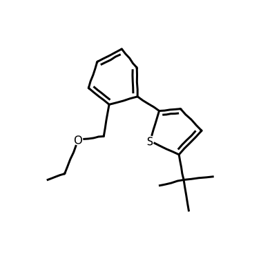 CCOCc1ccccc1-c1ccc(C(C)(C)C)s1